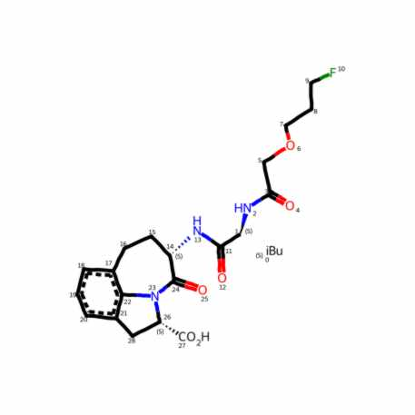 CC[C@H](C)[C@H](NC(=O)COCCCF)C(=O)N[C@H]1CCc2cccc3c2N(C1=O)[C@H](C(=O)O)C3